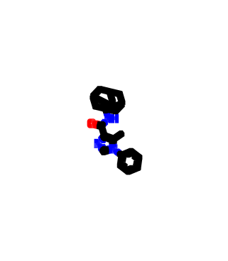 Cc1c(C(=O)NC23CC4CC(CC(C4)C2)C3)ncn1-c1ccccc1